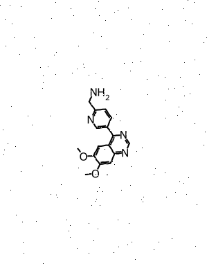 COc1cc2ncnc(-c3ccc(CN)nc3)c2cc1OC